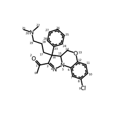 CC(=O)C1=NN2c3cc(Cl)ccc3OCC2C1(CCCN(C)C)c1ccccc1